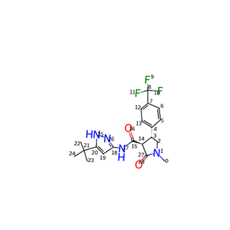 CN1C[C@@H](c2ccc(C(F)(F)F)cc2)[C@H](C(=O)Nc2cc(C(C)(C)C)[nH]n2)C1=O